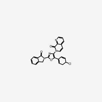 O=C1c2ccccc2CN1c1nc(-n2ccc3cccnc3c2=O)c(C2=CCC(Cl)C=C2)o1